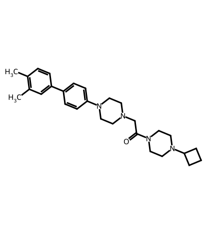 Cc1ccc(-c2ccc(N3CCN(CC(=O)N4CCN(C5CCC5)CC4)CC3)cc2)cc1C